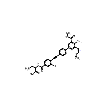 C=N/C=C\c1nc(-c2ccc(C#Cc3ccc(C(=O)NC(CN)C(=O)O)cc3Cl)cc2)cc(C(=O)NN)c1C